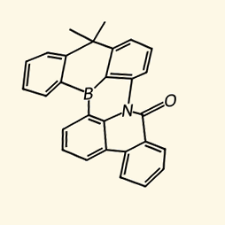 CC1(C)c2ccccc2B2c3c(cccc31)-n1c(=O)c3ccccc3c3cccc2c31